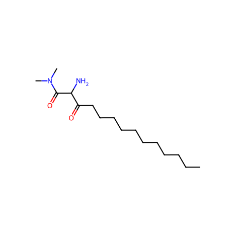 CCCCCCCCCCCC(=O)C(N)C(=O)N(C)C